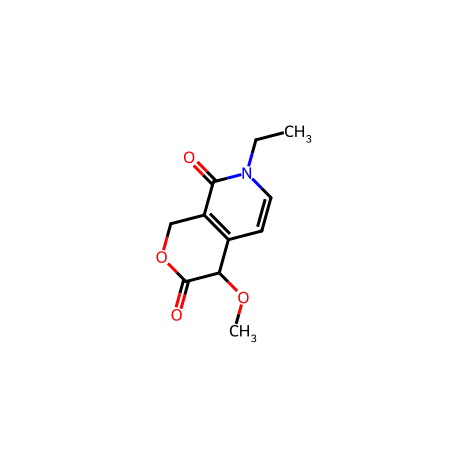 CCn1ccc2c(c1=O)COC(=O)C2OC